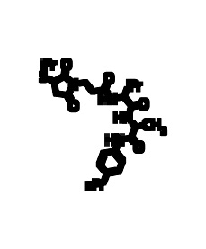 CCCc1ccc(NC(=O)[C@H](C)NC(=O)C(NC(=O)CCN2C(=O)CC(SC(C)C)C2=O)C(C)C)cc1